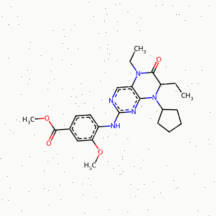 CCC1C(=O)N(CC)c2cnc(Nc3ccc(C(=O)OC)cc3OC)nc2N1C1CCCC1